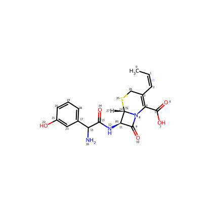 C/C=C\C1=C(C(=O)O)N2C(=O)[C@@H](NC(=O)C(N)c3cccc(O)c3)[C@@H]2SC1